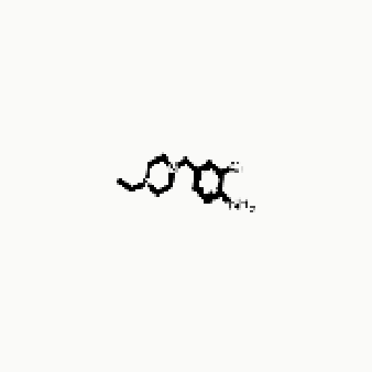 CCN1CCN(Cc2ccc(N)c(Cl)c2)CC1